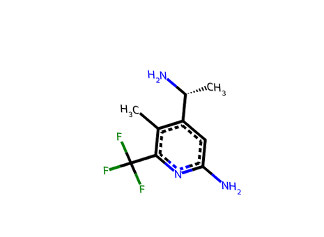 Cc1c([C@@H](C)N)cc(N)nc1C(F)(F)F